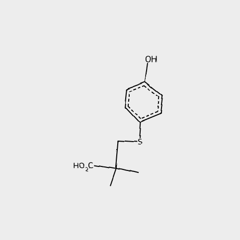 CC(C)(CSc1ccc(O)cc1)C(=O)O